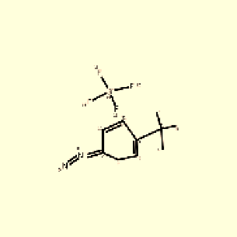 CC(C)(C)C1=CCC(=[N+]=[N-])C=C1.F[B-](F)(F)F